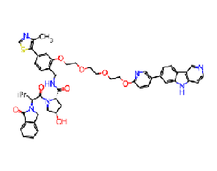 Cc1ncsc1-c1ccc(CNC(=O)[C@@H]2C[C@@H](O)CN2C(=O)C(C(C)C)N2Cc3ccccc3C2=O)c(OCCOCCOCCOc2ccc(-c3ccc4c(c3)[nH]c3ccncc34)cn2)c1